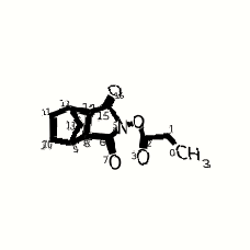 CCC(=O)ON1C(=O)C2C3C=CC(C3)C2C1=O